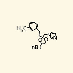 CCCCC1COC(CCc2cccc(C)c2)(Cn2ccnc2)O1